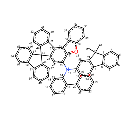 CC1(C)c2ccccc2-c2ccc(N(c3ccccc3-c3ccccc3)c3cc4c(c5c3oc3ccccc35)-c3ccccc3C43c4ccccc4-c4ccccc43)cc21